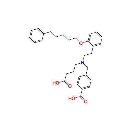 O=C(O)CCCN(CCc1ccccc1OCCCCCc1ccccc1)Cc1ccc(C(=O)O)cc1